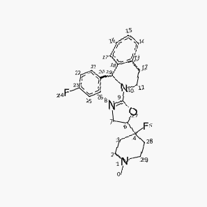 CN1CCC(F)(C2CN=C(N3CCc4ccccc4[C@@H]3c3ccc(F)cc3)O2)CC1